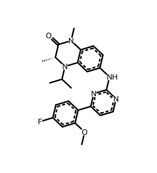 COc1cc(F)ccc1-c1ccnc(Nc2ccc3c(c2)N(C(C)C)[C@H](C)C(=O)N3C)n1